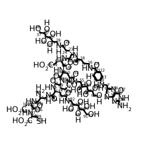 Nc1nc2ncc(CNc3ccc(C(=O)NCCCC(=O)N[C@@H](CCC(=O)NC[C@H](O)[C@@H](O)[C@H](O)[C@H](O)CO)C(=O)N[C@@H](CCC(=O)O)C(=O)N[C@@H](CCC(=O)NC[C@H](O)[C@@H](O)[C@H](O)[C@H](O)CO)C(=O)N[C@@H](CCC(=O)O)C(=O)N[C@@H](CCC(=O)NC[C@H](O)[C@@H](O)[C@H](O)[C@H](O)CO)C(=O)NC[C@H](N)C(=O)N[C@@H](CC(=O)O)C(=O)N[C@@H](CS)C(=O)O)cc3)nc2c(=O)[nH]1